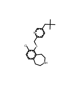 CC(C)(C)Cc1ccc(CSc2c(Cl)ccc3c2CCNCC3)nc1